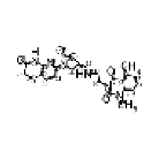 Cc1cccc2c1c(=O)n(CCNCC1CN(c3ccc4c(n3)NC(=O)CS4)C(=O)O1)c(=O)n2C